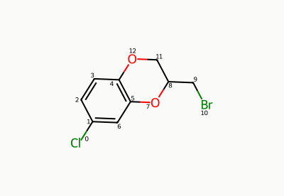 Clc1ccc2c(c1)OC(CBr)CO2